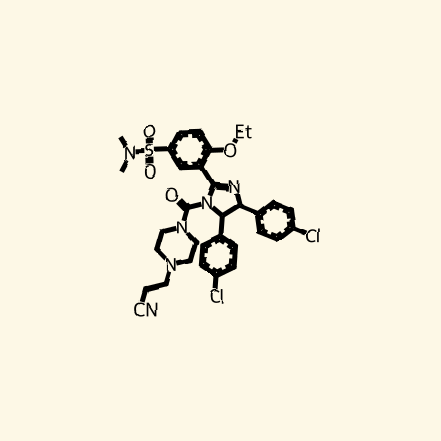 CCOc1ccc(S(=O)(=O)N(C)C)cc1C1=NC(c2ccc(Cl)cc2)C(c2ccc(Cl)cc2)N1C(=O)N1CCN(CCC#N)CC1